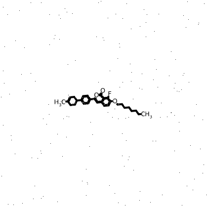 CCCCCCCCOc1ccc2cc(-c3ccc(C4CC=C(C)CC4)cc3)oc(=O)c2c1F